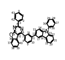 c1ccc(-c2nc(-c3cccc(-c4ccc5c(c4)c4ccccc4n5-c4ccccc4)c3)c3c(n2)oc2ccccc23)cc1